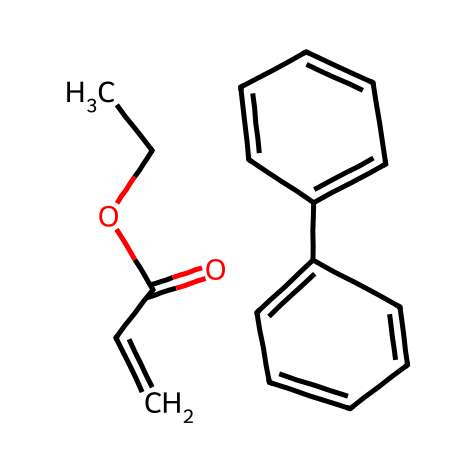 C=CC(=O)OCC.c1ccc(-c2ccccc2)cc1